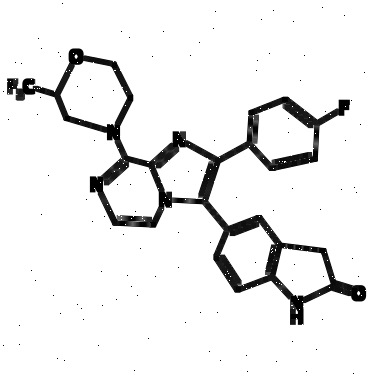 O=C1Cc2cc(-c3c(-c4ccc(F)cc4)nc4c(N5CCOC(C(F)(F)F)C5)nccn34)ccc2N1